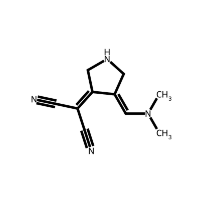 CN(C)C=C1CNCC1=C(C#N)C#N